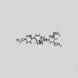 C[C@@H]1CC(N/C=C2/C=CC(C3=NC[C@@H](C)CC3)=CC2=N)CN(C)C1